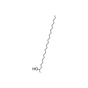 [CH2]C(O)CCCCCCCCCCCCCCCCCCCCCC